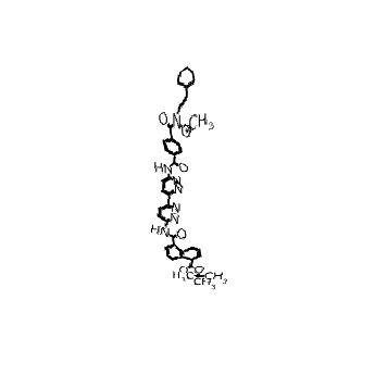 CON(CCC1CCCCC1)C(=O)c1ccc(C(=O)Nc2ccc(-c3ccc(NC(=O)c4cccc5c(C(=O)OC(C)(C)C)cccc45)nn3)nn2)cc1